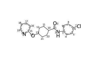 O=C(Nc1ccc(Cl)cc1)C1CCC(Oc2ccccn2)CC1